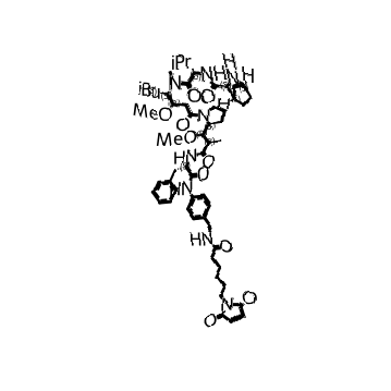 CC[C@H](C)[C@@H]([C@@H](CC(=O)N1CCC[C@H]1[C@H](OC)[C@@H](C)C(=O)N[C@@H](Cc1ccccc1)C(=O)Nc1ccc(CNC(=O)CCCCCN2C(=O)C=CC2=O)cc1)OC)N(C)C(=O)[C@@H](NC(=O)[C@H]1N[C@H]2CC[C@H]1C2)C(C)C